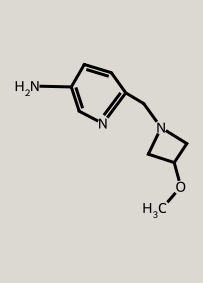 COC1CN(Cc2ccc(N)cn2)C1